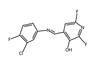 Oc1c(/C=N/c2ccc(F)c(Cl)c2)cc(F)nc1F